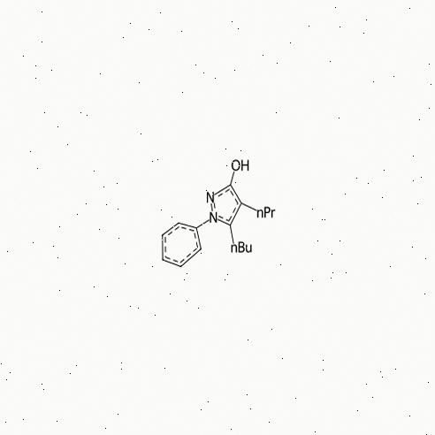 CCCCc1c(CCC)c(O)nn1-c1ccccc1